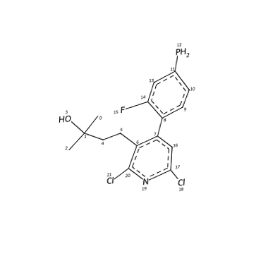 CC(C)(O)CCc1c(-c2ccc(P)cc2F)cc(Cl)nc1Cl